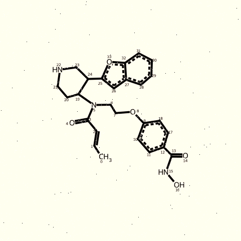 CC=CC(=O)N(CCOc1ccc(C(=O)NO)cc1)C1CCNCC1c1cc2ccccc2o1